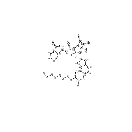 CC1(C)S[C@@H]2[C@H](Br)C(=O)N2[C@H]1C(=O)OC1OC(=O)c2ccccc21.CCCCCCCC[S+]([O-])C(C)Cc1ccc2c(c1)OCO2